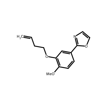 C=CCCOc1cc(-c2ncco2)ccc1OC